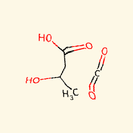 CC(O)C(=O)O.O=C=O